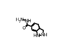 NNC(=O)C1=CCC2CNNC2=C1